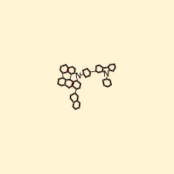 c1ccc(-c2cccc3cccc(-c4ccccc4N(c4ccc(-c5ccc6ccccc6c5)cc4)c4ccc(-c5ccc6c7ccccc7n(-c7ccccc7)c6c5)cc4)c23)cc1